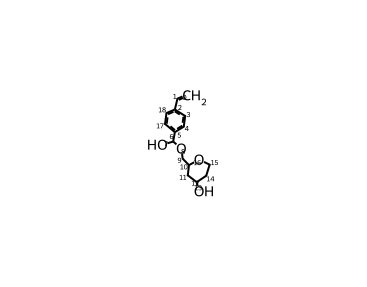 C=Cc1ccc(C(O)OCC2CC(O)CCO2)cc1